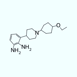 CCOC1CCC(N2CCC(c3cccc(N)c3N)CC2)CC1